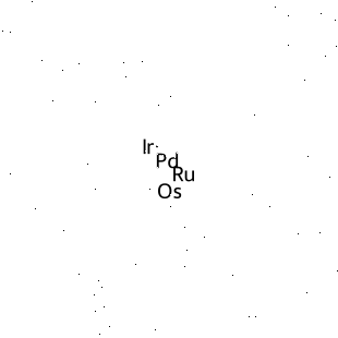 [Ir].[Os].[Pd].[Ru]